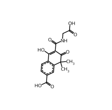 CC1(C)C(=O)C(C(=O)NCC(=O)O)=C(O)c2ccc(C(=O)O)cc21